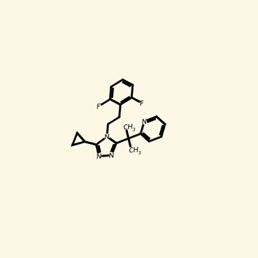 CC(C)(c1ccccn1)c1nnc(C2CC2)n1CCc1c(F)cccc1F